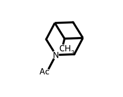 CC(=O)N1CC2CC(C1)C2C